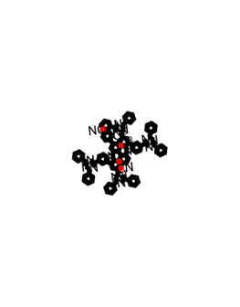 N#Cc1ccc(-n2c3ccc(-c4nc(-c5ccccc5)nc(-c5ccccc5)n4)cc3c3cc(-c4nc(-c5ccccc5)nc(-c5ccccc5)n4)ccc32)c(-c2ccc(-c3ccc(C#N)cc3C(F)(F)F)cc2-n2c3ccc(-c4nc(-c5ccccc5)nc(-c5ccccc5)n4)cc3c3cc(-c4nc(-c5ccccc5)nc(-c5ccccc5)n4)ccc32)c1